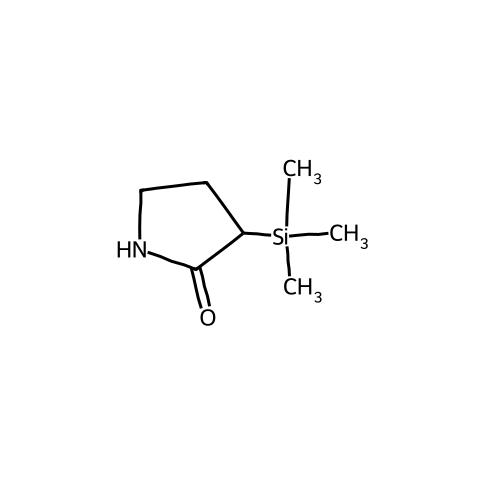 C[Si](C)(C)C1CCNC1=O